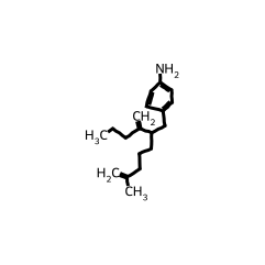 C=C(C)CCCC(Cc1ccc(N)cc1)C(=C)CCC